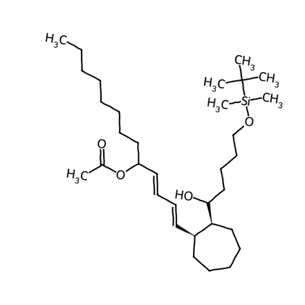 CCCCCCCCC(/C=C/C=C/[C@@H]1CCCCC[C@@H]1C(O)CCCCO[Si](C)(C)C(C)(C)C)OC(C)=O